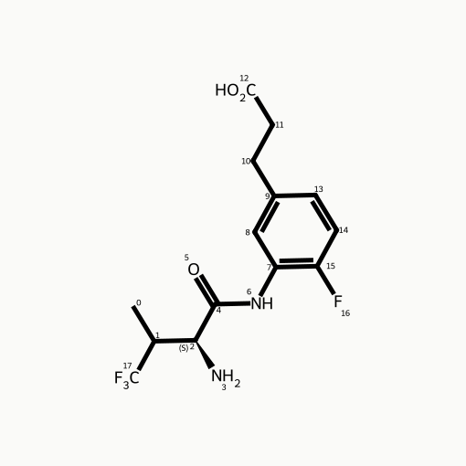 CC([C@H](N)C(=O)Nc1cc(CCC(=O)O)ccc1F)C(F)(F)F